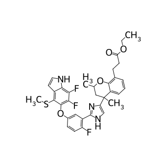 CCOC(=O)CCc1cccc2c1OC(C)CC2(C)c1c[nH]c(-c2cc(Oc3c(F)c(F)c4[nH]ccc4c3SC)ccc2F)n1